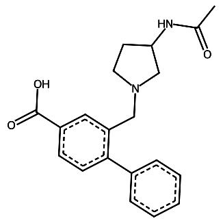 CC(=O)NC1CCN(Cc2cc(C(=O)O)ccc2-c2ccccc2)C1